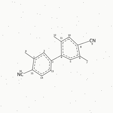 Cc1cc(-c2cc(C)c(C#N)cc2C)ccc1C#N